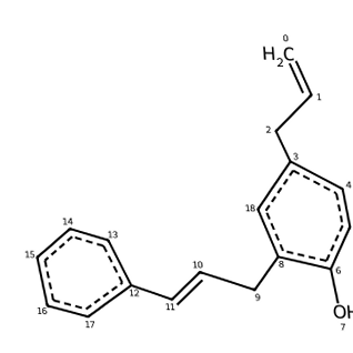 C=CCc1ccc(O)c(CC=Cc2ccccc2)c1